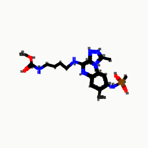 COc1cc2nc(NCCCCNC(=O)OC(C)(C)C)c3nnc(C)n3c2cc1NS(C)(=O)=O